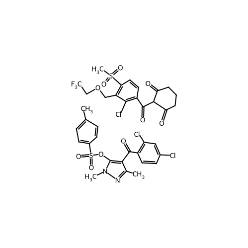 CS(=O)(=O)c1ccc(C(=O)C2C(=O)CCCC2=O)c(Cl)c1COCC(F)(F)F.Cc1ccc(S(=O)(=O)Oc2c(C(=O)c3ccc(Cl)cc3Cl)c(C)nn2C)cc1